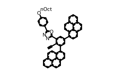 C#Cc1c(-c2nnc(-c3ccc(OCCCCCCCC)cc3)o2)cc(-c2ccc3ccc4cccc5ccc2c3c45)cc1-c1ccc2ccc3cccc4ccc1c2c34